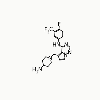 NC1CCN(Cc2ccn3ncnc(Nc4ccc(F)c(C(F)(F)F)c4)c23)CC1